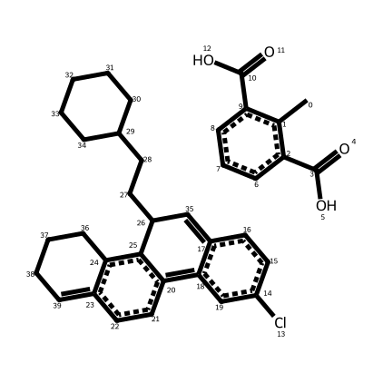 Cc1c(C(=O)O)cccc1C(=O)O.Clc1ccc2c(c1)=c1ccc3c(c1C(CCC1CCCCC1)C=2)CCCC=3